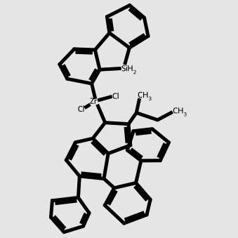 CCC(C)C1=Cc2c(ccc(-c3ccccc3)c2-c2ccccc2-c2ccccc2)[CH]1[Zr]([Cl])([Cl])[c]1cccc2c1[SiH2]c1ccccc1-2